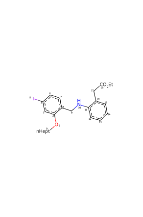 CCCCCCCOc1cc(I)ccc1CNc1ccccc1CC(=O)OCC